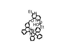 CCc1cc(OCc2ccc(-c3ccccc3-c3nnn(C(c4ccccc4)(c4ccccc4)c4ccccc4)n3)cc2)c2nc(OC(O)CC)ccc2n1